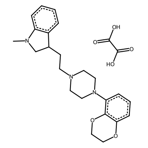 CN1CC(CCN2CCN(c3cccc4c3OCCO4)CC2)c2ccccc21.O=C(O)C(=O)O